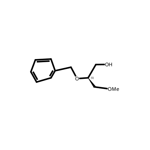 COC[C@H](CO)OCc1ccccc1